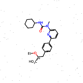 CCO[C@@H](Cc1ccc(-c2cccc(N(C)C(=O)NC3CCCCC3)n2)cc1)C(=O)O